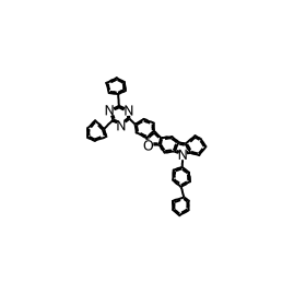 c1ccc(-c2ccc(-n3c4ccccc4c4cc5c(cc43)oc3cc(-c4nc(-c6ccccc6)nc(-c6ccccc6)n4)ccc35)cc2)cc1